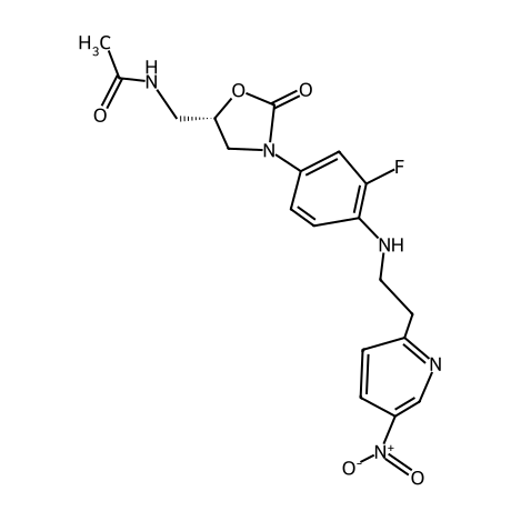 CC(=O)NC[C@H]1CN(c2ccc(NCCc3ccc([N+](=O)[O-])cn3)c(F)c2)C(=O)O1